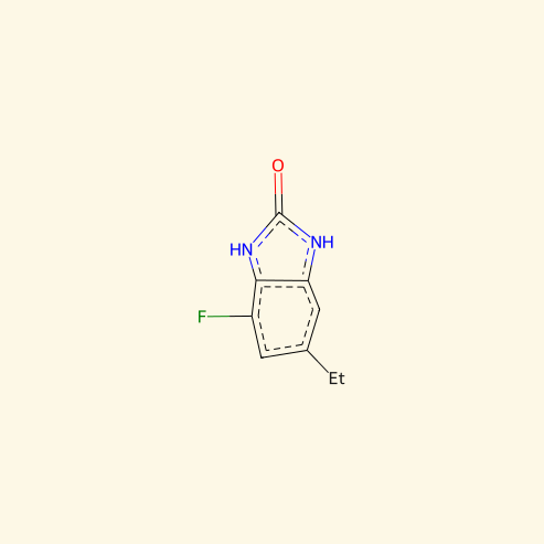 CCc1cc(F)c2[nH]c(=O)[nH]c2c1